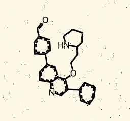 O=Cc1ccc(-c2ccc3ncc(-c4ccccc4)c(OCCC4CCCCN4)c3c2)cc1